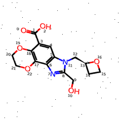 O=C(O)c1cc2c(nc(CO)n2C[C@@H]2CCO2)c2c1OCCO2